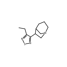 CCc1nsnc1C1CN2CCCC1C2